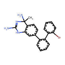 CC1(N)N=C(N)Nc2cc(-c3ccccc3-c3ccccc3Br)ccc21